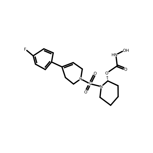 O=C(NO)O[C@@H]1CCCCN1S(=O)(=O)N1CC=C(c2ccc(F)cc2)CC1